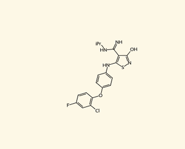 CC(C)NC(=N)c1c(O)nsc1Nc1ccc(Oc2ccc(F)cc2Cl)cc1